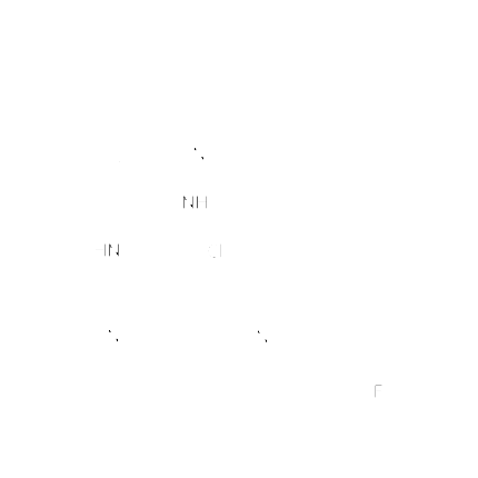 Cc1cc(Nc2nccc(N3CCC(F)C3)c2Cl)[nH]n1